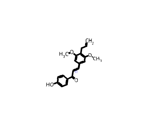 C=CCc1c(OC)cc(/C=C/C(=O)c2ccc(O)cc2)cc1OC